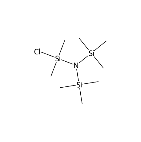 C[Si](C)(C)N([Si](C)(C)C)[Si](C)(C)Cl